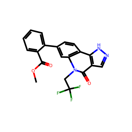 COC(=O)c1ccccc1-c1ccc2c3[nH]ncc3c(=O)n(CC(F)(F)F)c2c1